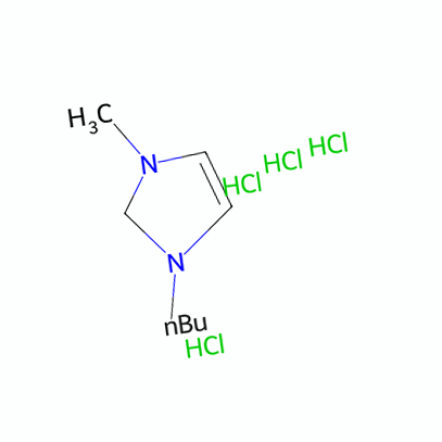 CCCCN1C=CN(C)C1.Cl.Cl.Cl.Cl